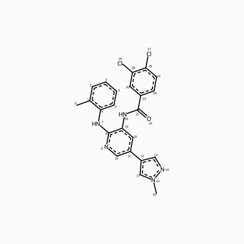 Cc1ccccc1Nc1ncc(-c2cnn(C)c2)cc1NC(=O)c1ccc(Cl)c(Cl)c1